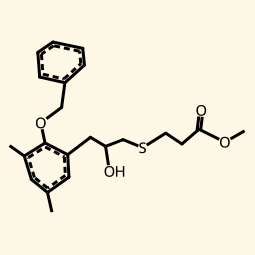 COC(=O)CCSCC(O)Cc1cc(C)cc(C)c1OCc1ccccc1